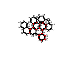 c1ccc(-c2ccccc2-c2c(-c3ccccc3)cccc2-c2ccccc2N(c2cccc(-c3cccc4ccccc34)c2)c2cccc3oc4ccccc4c23)cc1